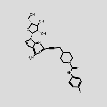 Nc1nc(C#CCC2CCN(C(=O)Nc3ccc(F)cc3)CC2)nc2c1ncn2[C@@H]1O[C@H](CO)C(O)[C@@H]1O